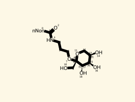 CCCCCCCCCC(=O)NCCCO[C@]1(CO)OC[C@@H](O)[C@@H](O)[C@@H]1O